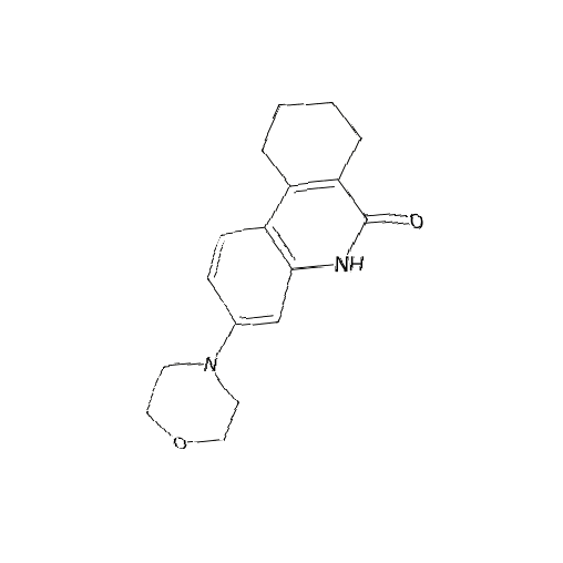 O=c1[nH]c2cc(N3CCOCC3)ccc2c2c1CCCC2